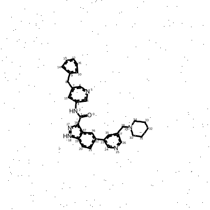 O=C(Nc1cncc(Cc2ccccc2)c1)c1n[nH]c2ccc(-c3cncc(CN4CCCCC4)c3)cc12